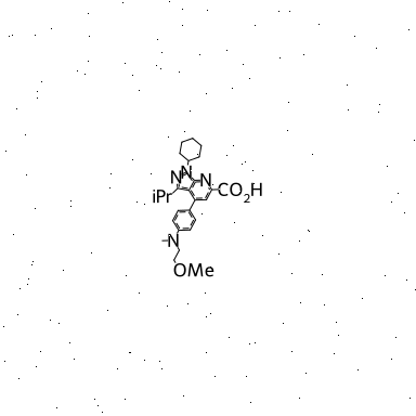 COCCN(C)c1ccc(-c2cc(C(=O)O)nc3c2c(C(C)C)nn3C2CCCCC2)cc1